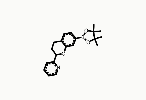 CC1(C)OB(c2ccc3c(c2)OC(c2ccccn2)CC3)OC1(C)C